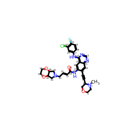 CN1CCOCC1C#Cc1cc2ncnc(Nc3ccc(F)c(Cl)c3)c2cc1NC(=O)/C=C/CN1CC2OCCOC2C1